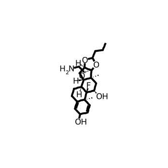 CCCC1O[C@@H]2C[C@H]3[C@@H]4CCC5=CC(O)C=C[C@]5(C)[C@@]4(F)[C@@H](O)C[C@]3(C)[C@]2(C(=O)CN)O1